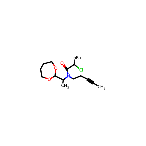 CC#CCCN(C(=O)C(Cl)CCCC)C(C)C1OCCCCO1